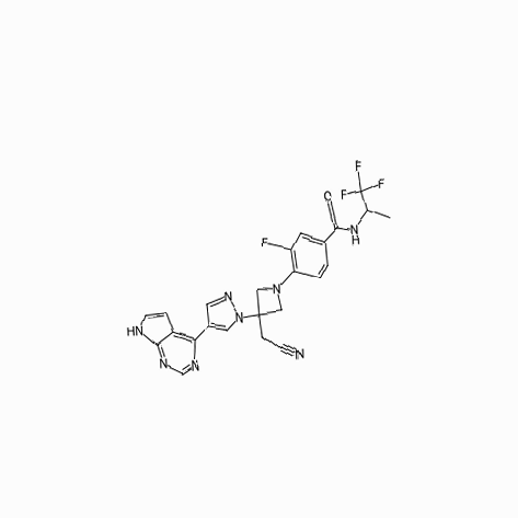 CC(NC(=O)c1ccc(N2CC(CC#N)(n3cc(-c4ncnc5[nH]ccc45)cn3)C2)c(F)c1)C(F)(F)F